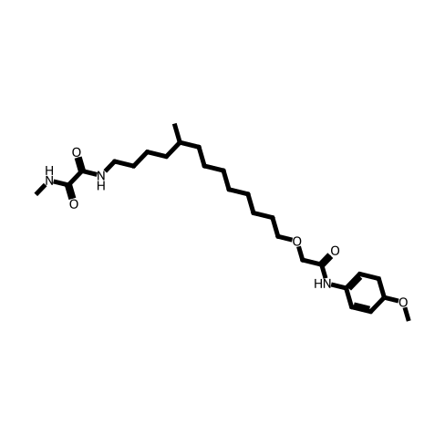 CNC(=O)C(=O)NCCCCC(C)CCCCCCCCOCC(=O)NC1=CCC(OC)C=C1